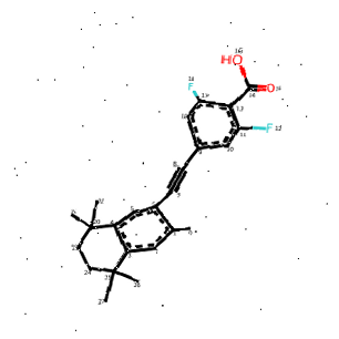 Cc1cc2c(cc1C#Cc1cc(F)c(C(=O)O)c(F)c1)C(C)(C)CCC2(C)C